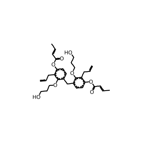 C=CCc1c(OC(=O)C=CC)ccc(Cc2ccc(OC(=O)C=CC)c(CC=C)c2OCCCO)c1OCCCO